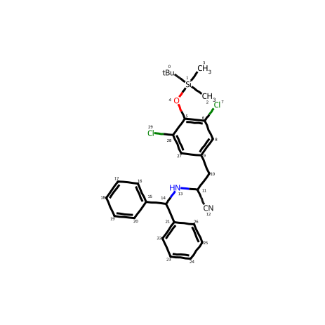 CC(C)(C)[Si](C)(C)Oc1c(Cl)cc(CC(C#N)NC(c2ccccc2)c2ccccc2)cc1Cl